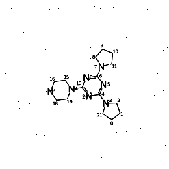 C1CCN(c2nc(N3CCCC3)nc(N3CC[N]CC3)n2)C1